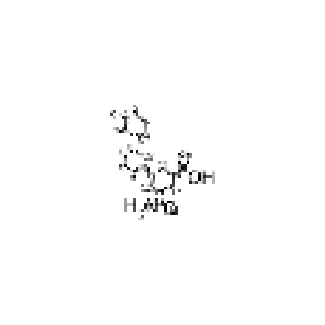 Cc1cccc(-c2cccc(-c3cc(C(N)=O)cc(C(=O)O)c3)c2)c1